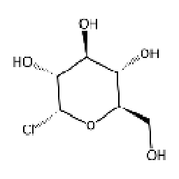 OC[C@H]1O[C@H](Cl)[C@H](O)[C@@H](O)[C@@H]1O